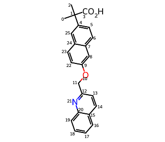 CC(C)(C(=O)O)c1ccc2cc(OCc3ccc4ccccc4n3)ccc2c1